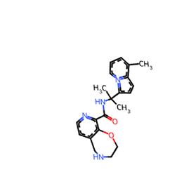 Cc1cccn2c(C(C)(C)NC(=O)c3nccc4c3OCCNC4)ccc12